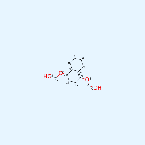 OCOC1=C2CCCCC2C(OCO)CC1